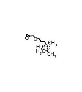 CC(C)O[Si](C)(C)CCCOCC1CO1